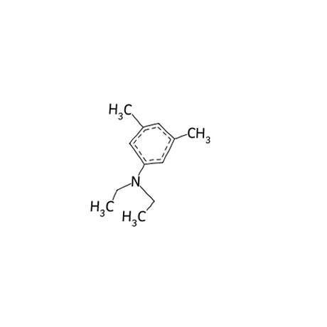 CCN(CC)c1cc(C)cc(C)c1